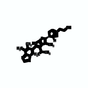 Cc1c(-c2[nH]c3sc([C@@H]4CC5C[C@H]4CN5CCO)c(C)c3c2C(C)C)cn2ncnc2c1C